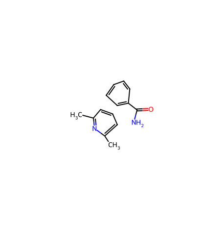 Cc1cccc(C)n1.NC(=O)c1ccccc1